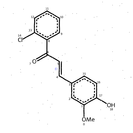 COc1cc(/C=C/C(=O)c2ccccc2Cl)ccc1O